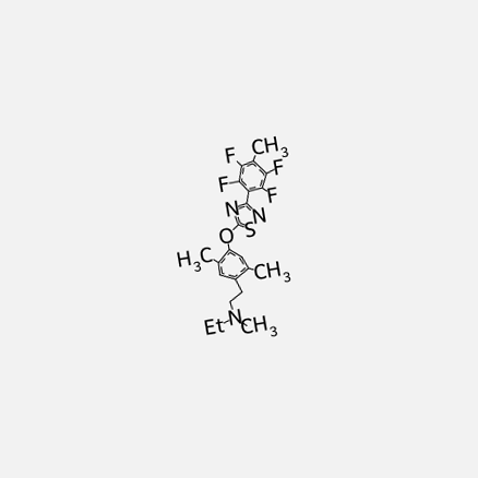 CCN(C)CCc1cc(C)c(Oc2nc(-c3c(F)c(F)c(C)c(F)c3F)ns2)cc1C